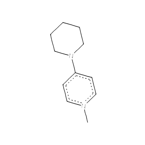 C[n+]1ccc(N2CCCCC2)cc1